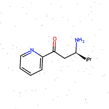 CC(C)[C@H](N)CC(=O)c1ccccn1